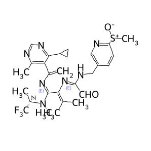 C=C(/N=C(\C(/N=C(\C=O)NCc1ccc([S+](C)[O-])nc1)=C(C)C)N(C)[C@@H](C)C(F)(F)F)c1c(C)ncnc1C1CC1